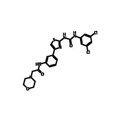 O=C(CN1CCOCC1)Nc1cccc(-c2csc(NC(=O)Nc3cc(Cl)cc(Cl)c3)n2)c1